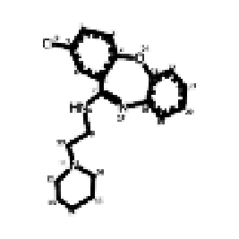 Clc1ccc2c(c1)C(NCCN1CCCCC1)=Nc1ccccc1O2